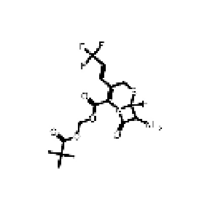 CC(C)(C)C(=O)OCOC(=O)C1=C(/C=C/C(F)(F)F)CS[C@@H]2C(N)C(=O)N12